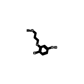 COCCCOc1cc(C=O)ccc1Cl